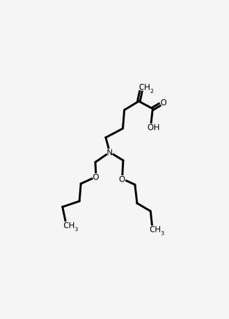 C=C(CCCN(COCCCC)COCCCC)C(=O)O